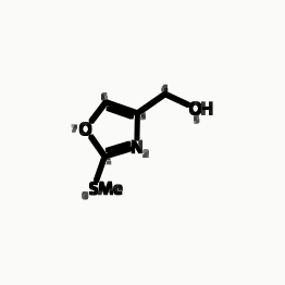 CSc1nc(CO)co1